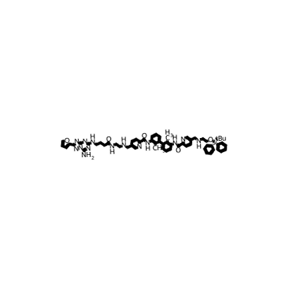 Cc1c(NC(=O)c2ccc(CNCCNC(=O)CCCNc3nc(N)n4nc(-c5ccco5)nc4n3)cn2)cccc1-c1cccc(NC(=O)c2ccc(CNCCO[Si](c3ccccc3)(c3ccccc3)C(C)(C)C)cn2)c1C